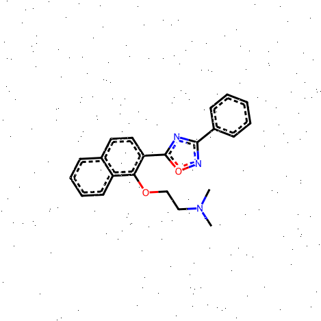 CN(C)CCOc1c(-c2nc(-c3ccccc3)no2)ccc2ccccc12